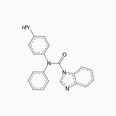 CCCc1ccc(N(C(=O)n2cnc3ccccc32)c2ccccc2)cc1